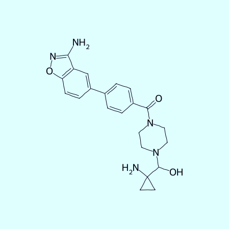 Nc1noc2ccc(-c3ccc(C(=O)N4CCN(C(O)C5(N)CC5)CC4)cc3)cc12